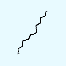 CC(=O)CCCCCCCCCCBr